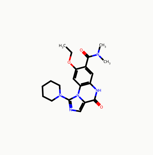 CCOc1cc2c(cc1C(=O)N(C)C)[nH]c(=O)c1cnc(N3CCCCC3)n12